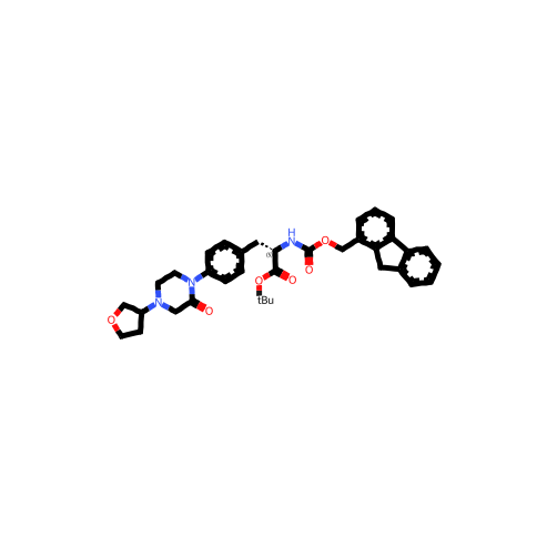 CC(C)(C)OC(=O)[C@H](Cc1ccc(N2CCN(C3CCOC3)CC2=O)cc1)NC(=O)OCc1cccc2c1Cc1ccccc1-2